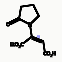 CCOC(=O)/C(=C\C(=O)O)N1CCCC1=O